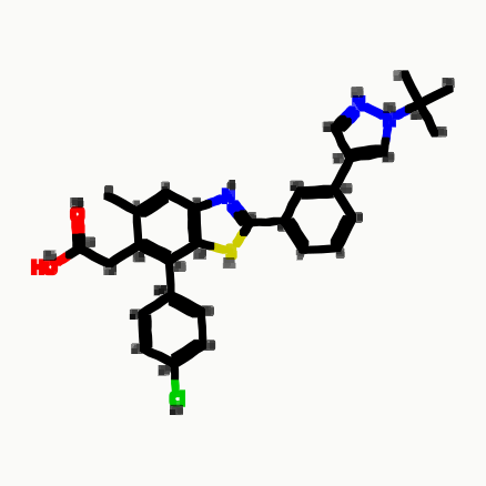 Cc1cc2nc(-c3cccc(-c4cnn(C(C)(C)C)c4)c3)sc2c(-c2ccc(Cl)cc2)c1CC(=O)O